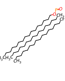 CCCCCCCCCCCCCCCC.CCCCCCCCCCCCCCCC.CCCCCCCCCCCCCCCCOP=O